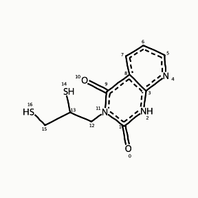 O=c1[nH]c2ncccc2c(=O)n1CC(S)CS